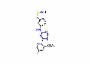 COc1cc(F)ccc1-c1ncnc(Nc2cccc(C[S@](C)=N)c2)n1